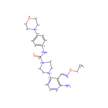 CCO/N=C/c1c(N)ncnc1N1CCN(C(=O)Nc2ccc(N3CCOCC3)cc2)CC1